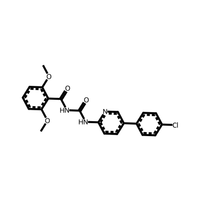 COc1cccc(OC)c1C(=O)NC(=O)Nc1ccc(-c2ccc(Cl)cc2)cn1